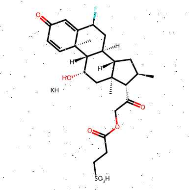 C[C@@H]1C[C@H]2[C@@H]3C[C@H](F)C4=CC(=O)C=C[C@]4(C)[C@H]3[C@@H](O)C[C@]2(C)[C@H]1C(=O)COC(=O)CCS(=O)(=O)O.[KH]